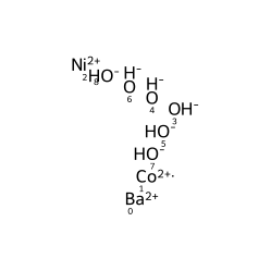 [Ba+2].[Co+2].[Ni+2].[OH-].[OH-].[OH-].[OH-].[OH-].[OH-]